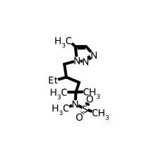 CCC(Cn1nncc1C)CC(C)(C)N(C)S(C)(=O)=O